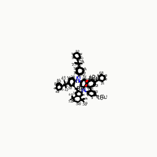 CC(C)(C)c1ccc(N2c3cc4c(cc3C3Bc5c(cc(C(C)(C)C)cc52)N(c2ccc(C(C)(C)c5ccccc5)cc2)c2ccc(C(C)(C)c5ccccc5)cc23)C(C)(C)CCC4(C)C)c(-c2cccc(-c3ccccc3)c2)c1